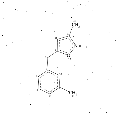 Cc1cccc(Cc2cc(C)no2)c1